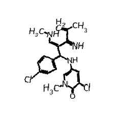 C=C(C)C(=N)/C(=C\NC)C(Nc1cc(Cl)c(=O)n(C)c1)c1ccc(Cl)cc1